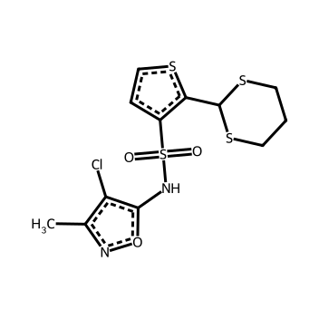 Cc1noc(NS(=O)(=O)c2ccsc2C2SCCCS2)c1Cl